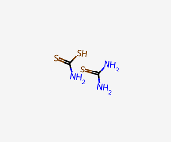 NC(=S)S.NC(N)=S